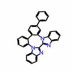 c1ccc(-c2ccc3c4ccccc4n4c5ccccc5nc4c4nc5ccccc5n4c3c2)cc1